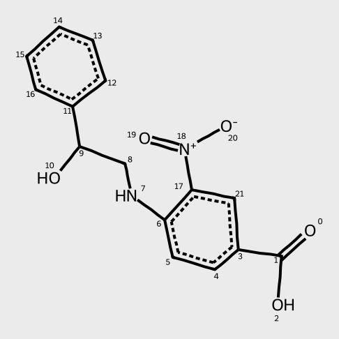 O=C(O)c1ccc(NCC(O)c2ccccc2)c([N+](=O)[O-])c1